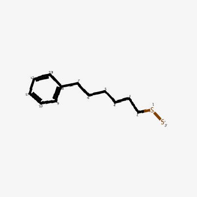 [S]SCCCCCCc1ccccc1